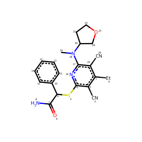 CCc1c(C#N)c(SC(C(N)=O)c2ccccc2)nc(N(C)C2CCOC2)c1C#N